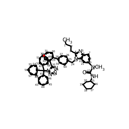 CCCCc1nc2ccc(N(C)C(=O)NC3CCCCC3)cc2n1Cc1ccc(-c2ccccc2-c2nnnn2C(c2ccccc2)(c2ccccc2)c2ccccc2)cc1